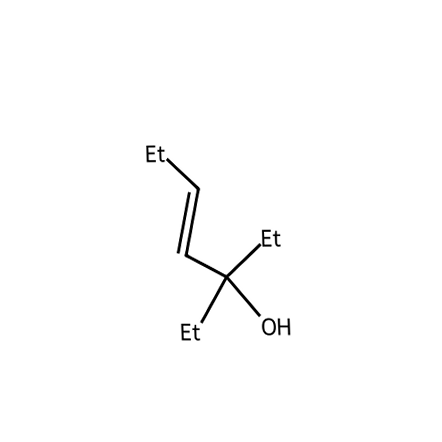 CC/C=C/C(O)(CC)CC